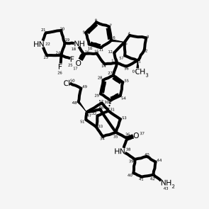 C[C@@]12CCC[C@@](c3ccccc3)(CC(CCC(=O)NC3CCNCC3(F)F)(c3ccc([C@]45CC6CC(C(=O)NC7CCC(N)CC7)(C[C@](CCCl)(C6)C4)C5)cc3)C1)C2